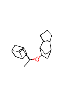 CC(OC1CC2CC1C1CCCC21)C1=C2C3CC(C1)CC2C3